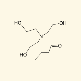 CCCC=O.OCCN(CCO)CCO